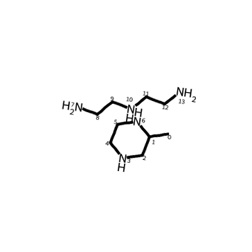 CC1CNCCN1.NCCNCCN